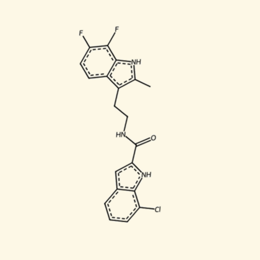 Cc1[nH]c2c(F)c(F)ccc2c1CCNC(=O)c1cc2cccc(Cl)c2[nH]1